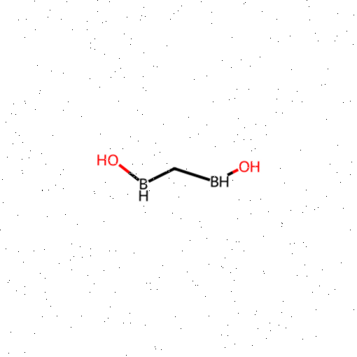 OBCBO